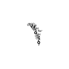 CC(=O)OCC1=C(C(=O)[O-])N2C(=O)C(NC(=O)Cc3cccc(NC(=O)N4CCN(N=Cc5ccc(F)cc5)C4=O)c3)[C@@H]2SC1.[Na+]